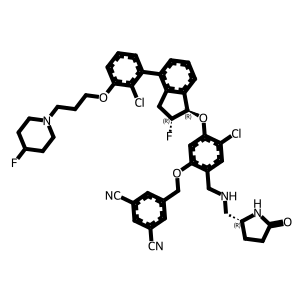 N#Cc1cc(C#N)cc(COc2cc(O[C@@H]3c4cccc(-c5cccc(OCCCN6CCC(F)CC6)c5Cl)c4C[C@H]3F)c(Cl)cc2CNC[C@H]2CCC(=O)N2)c1